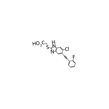 O=C(O)CSc1nc2cc(C#Cc3ccccc3F)c(Cl)cc2[nH]1